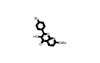 COc1ccc2c(=O)c(O)c(-c3ccc(Br)cc3)oc2n1